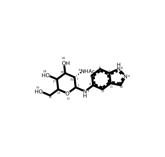 CC(=O)N[C@@H]1C(Nc2ccc3[nH]ncc3c2)OC(CO)C(O)C1O